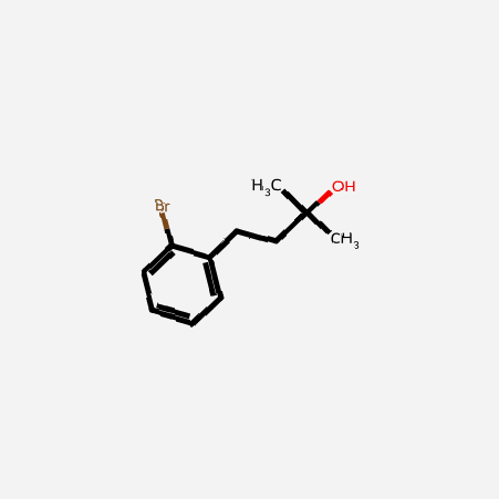 CC(C)(O)CCc1ccccc1Br